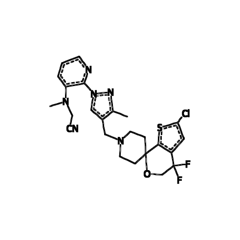 Cc1nn(-c2ncccc2N(C)CC#N)cc1CN1CCC2(CC1)OCC(F)(F)c1cc(Cl)sc12